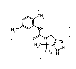 Cc1ccc(C)c(NC(=O)N2Cc3cn[nH]c3C2(C)C)c1